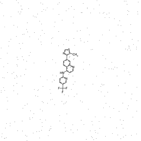 Cc1scnc1-c1ccc2c(Nc3ccc(C(F)(F)F)cn3)ccnc2c1